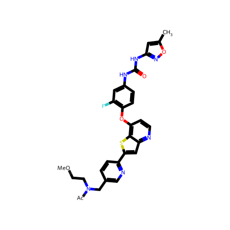 COCCN(Cc1ccc(-c2cc3nccc(Oc4ccc(NC(=O)Nc5cc(C)on5)cc4F)c3s2)nc1)C(C)=O